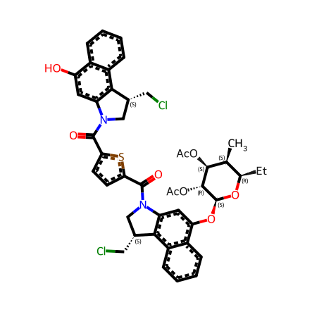 CC[C@H]1O[C@@H](Oc2cc3c(c4ccccc24)[C@H](CCl)CN3C(=O)c2ccc(C(=O)N3C[C@@H](CCl)c4c3cc(O)c3ccccc43)s2)[C@H](OC(C)=O)[C@@H](OC(C)=O)[C@H]1C